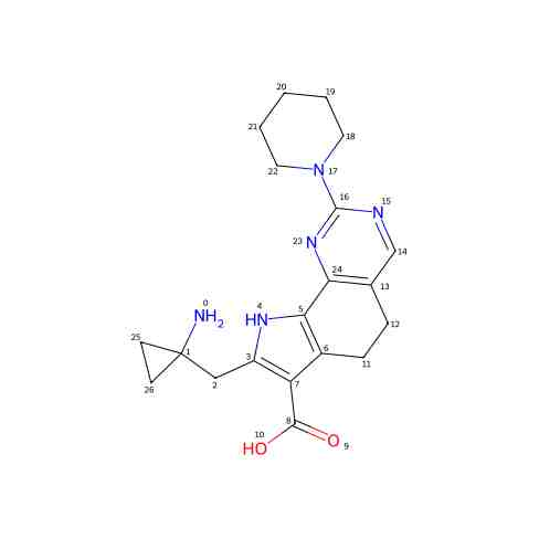 NC1(Cc2[nH]c3c(c2C(=O)O)CCc2cnc(N4CCCCC4)nc2-3)CC1